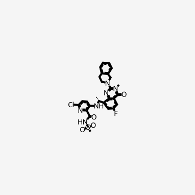 C[C@@H](Nc1ccc(Cl)nc1C(=O)NS(C)(=O)=O)c1cc(F)cc2c(=O)n(C)c(N3CCc4ccccc4C3)nc12